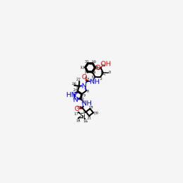 C[C@@H](CC(NC(=O)N1Cc2c(NC(=O)C3([Si](C)(C)C)CCC3)n[nH]c2C1(C)C)c1ccccc1)C(=O)O